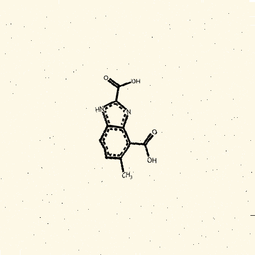 Cc1ccc2[nH]c(C(=O)O)nc2c1C(=O)O